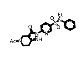 CCN(c1ccccc1)S(=O)(=O)c1ccc(-n2[nH]c3c(c2=O)CN(C(C)=O)CC3)nc1